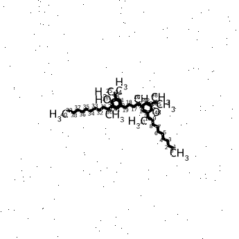 CCCCCCCCCCC(C)C1=CC(=C(C)CCCc2cc(C(C)C)c(O)c(C(C)CCCCCCCCCC)c2)C=C(C(C)C)C1=O